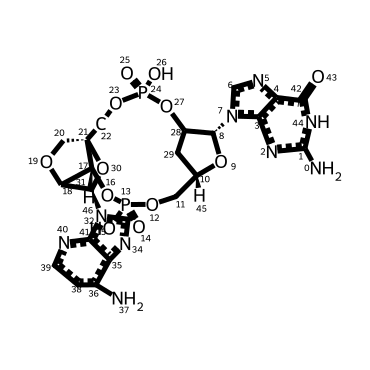 Nc1nc2c(ncn2[C@@H]2O[C@@H]3COP(=O)(O)O[C@@H]4C5OC[C@]4(COP(=O)(O)OC2C3)O[C@H]5n2cnc3c(N)ccnc32)c(=O)[nH]1